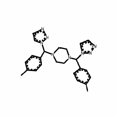 Cc1ccc(C(N2CCN(C(c3ccc(C)cc3)n3ccnn3)CC2)n2ccnn2)cc1